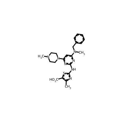 Cc1nc(Nc2nc(N(C)Cc3ccccc3)cc(N3CCN(C)CC3)n2)sc1C(=O)O